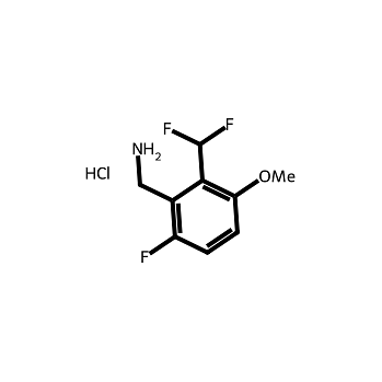 COc1ccc(F)c(CN)c1C(F)F.Cl